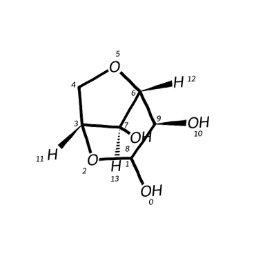 OC1O[C@@H]2CO[C@@H]([C@H]2O)[C@H]1O